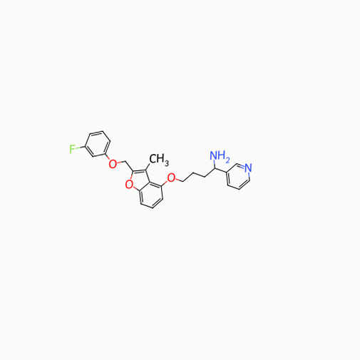 Cc1c(COc2cccc(F)c2)oc2cccc(OCCCC(N)c3cccnc3)c12